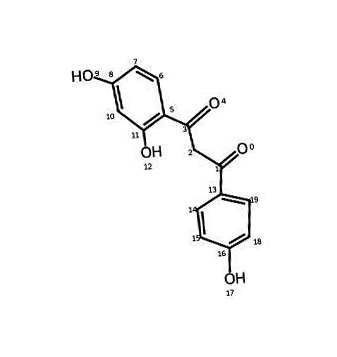 O=C(CC(=O)c1ccc(O)cc1O)c1ccc(O)cc1